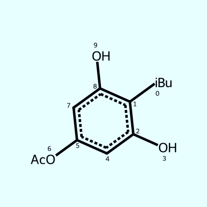 CCC(C)c1c(O)cc(OC(C)=O)cc1O